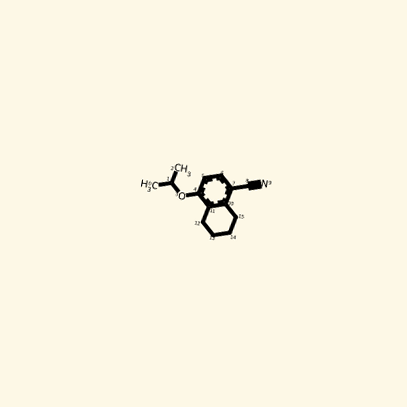 CC(C)Oc1ccc(C#N)c2c1CCCC2